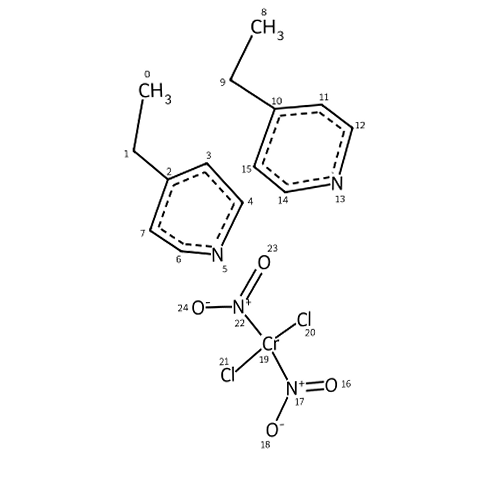 CCc1ccncc1.CCc1ccncc1.O=[N+]([O-])[Cr]([Cl])([Cl])[N+](=O)[O-]